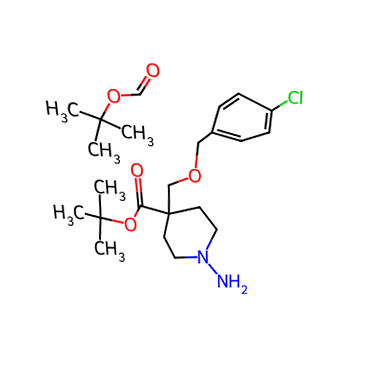 CC(C)(C)OC(=O)C1(COCc2ccc(Cl)cc2)CCN(N)CC1.CC(C)(C)OC=O